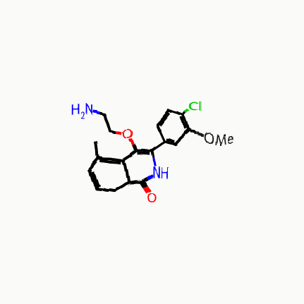 COc1cc(C2=C(OCCN)C3=C(C)C=CCC3C(=O)N2)ccc1Cl